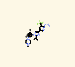 CC(C)c1nc(-c2cnc(N)c(C(F)(F)F)c2)cn1[C@]12C3[C@@H](N4CCN(C)CC4)C[C@@H]1[C@H]32